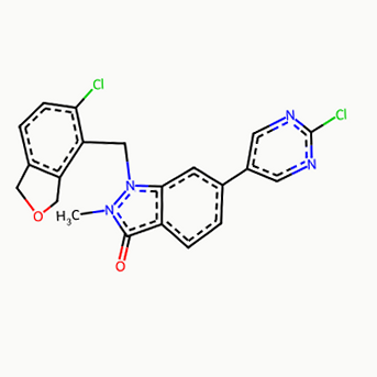 Cn1c(=O)c2ccc(-c3cnc(Cl)nc3)cc2n1Cc1c(Cl)ccc2c1COC2